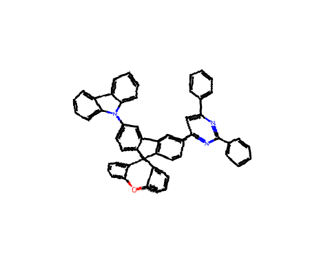 c1ccc(-c2cc(-c3ccc4c(c3)-c3cc(-n5c6ccccc6c6ccccc65)ccc3C43c4ccccc4Oc4ccccc43)nc(-c3ccccc3)n2)cc1